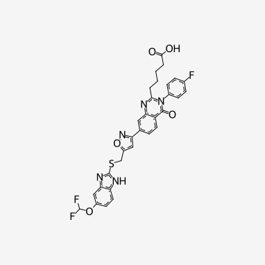 O=C(O)CCCCc1nc2cc(-c3cc(CSc4nc5cc(OC(F)F)ccc5[nH]4)on3)ccc2c(=O)n1-c1ccc(F)cc1